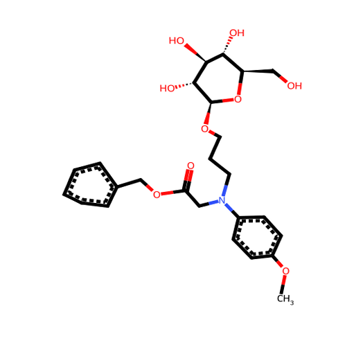 COc1ccc(N(CCCO[C@@H]2O[C@H](CO)[C@@H](O)[C@H](O)[C@H]2O)CC(=O)OCc2ccccc2)cc1